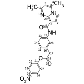 Cc1cc(C)n2ccc(C(=O)Nc3cccc(CC(=O)Oc4ccc([N+](=O)[O-])cc4)c3)c2n1